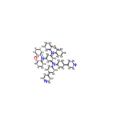 c1ccc2c(c1)Oc1ccccc1N2c1cc(N(c2ccc(-c3ccncc3)cc2)c2ccc(-c3ccncc3)cc2)cc(N2c3ccccc3Sc3ccccc32)c1